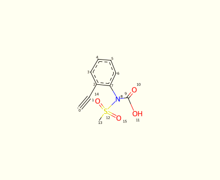 [C]#Cc1ccccc1N(C(=O)O)S(C)(=O)=O